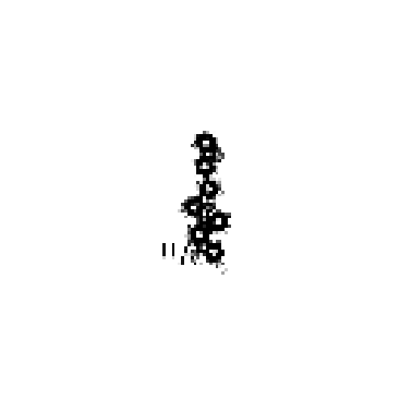 CC1(C)c2ccccc2-c2c1ccc1c2c2ccccc2n1-c1cccc2c1sc1ccc(-c3ccc4c(c3)oc3ccccc34)cc12